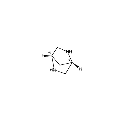 I[C@]12CN[C@H](CN1)C2